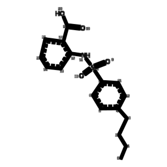 CCCCc1ccc(S(=O)(=O)Nc2ccccc2C(=O)O)cc1